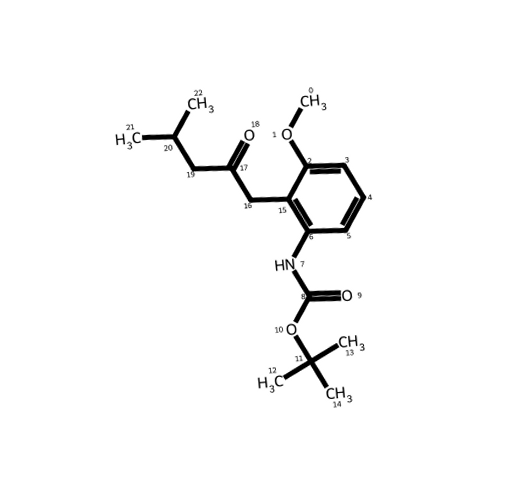 COc1cccc(NC(=O)OC(C)(C)C)c1CC(=O)CC(C)C